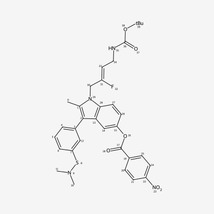 Cc1c(-c2cccc(SN(C)C)c2)c2cc(OC(=O)c3ccc([N+](=O)[O-])cc3)ccc2n1C/C(F)=C/CNC(=O)OC(C)(C)C